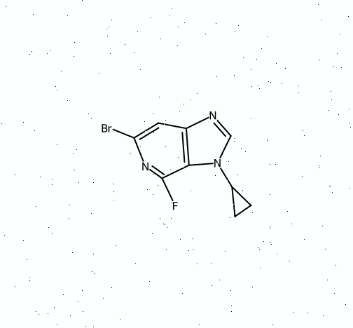 Fc1nc(Br)cc2ncn(C3CC3)c12